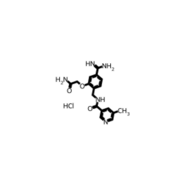 Cc1cncc(C(=O)NCc2ccc(C(=N)N)cc2OCC(N)=O)c1.Cl